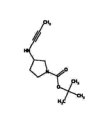 CC#CNC1CCN(C(=O)OC(C)(C)C)C1